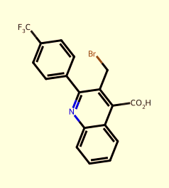 O=C(O)c1c(CBr)c(-c2ccc(C(F)(F)F)cc2)nc2ccccc12